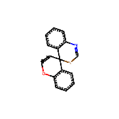 C1=Nc2ccccc2C2(S1)c1ccccc1Oc1ccccc12